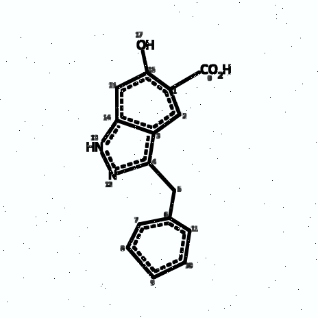 O=C(O)c1cc2c(Cc3ccccc3)n[nH]c2cc1O